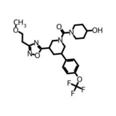 COCCc1noc(C2CC(c3ccc(OC(F)(F)F)cc3)CN(C(=O)N3CCC(O)CC3)C2)n1